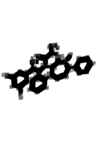 C[C@H](N)C(=O)N(C(=O)[C@@H](O)c1cc(F)cc(F)c1)[C@@H]1C(=O)N(C)[C@H](c2ccccc2)C=C[C@@H]1c1ccccc1